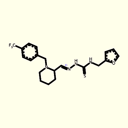 FC(F)(F)c1ccc(CN2CCCCC2/C=N/NC(=S)NCc2ccco2)cc1